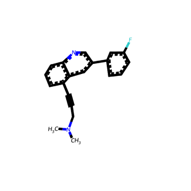 CN(C)CC#Cc1cccc2ncc(-c3cccc(F)c3)cc12